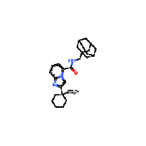 CCOC(=O)C1(c2cn3c(C(=O)NCC45CC6CC(CC(C6)C4)C5)cccc3n2)CCCCC1